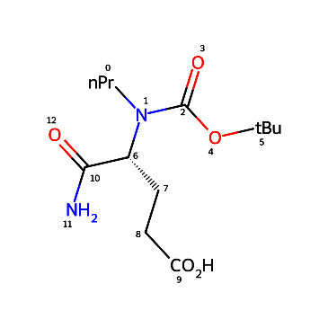 CCCN(C(=O)OC(C)(C)C)[C@H](CCC(=O)O)C(N)=O